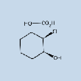 O=C(O)O.O[C@H]1CCCC[C@H]1Cl